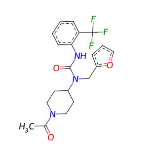 CC(=O)N1CCC(N(Cc2ccco2)C(=O)Nc2ccccc2C(F)(F)F)CC1